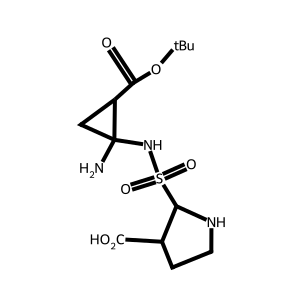 CC(C)(C)OC(=O)C1CC1(N)NS(=O)(=O)C1NCCC1C(=O)O